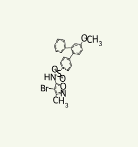 COc1ccc(-c2ccc(S(=O)(=O)Nc3onc(C)c3Br)cc2)c(-c2ccccc2)c1